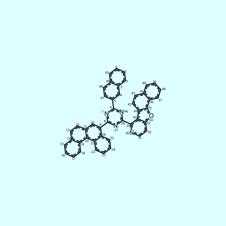 c1ccc2cc(-c3nc(-c4cc5ccc6ccccc6c5c5ccccc45)nc(-c4nccc5oc6c7ccccc7ccc6c45)n3)ccc2c1